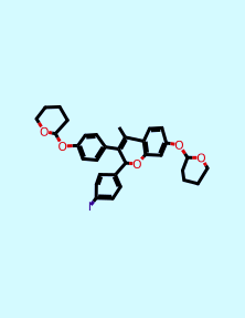 CC1=C(c2ccc(OC3CCCCO3)cc2)C(c2ccc(I)cc2)Oc2cc(OC3CCCCO3)ccc21